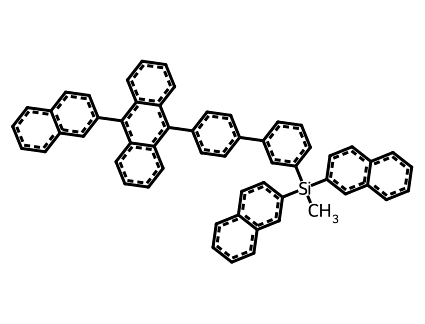 C[Si](c1cccc(-c2ccc(-c3c4ccccc4c(-c4ccc5ccccc5c4)c4ccccc34)cc2)c1)(c1ccc2ccccc2c1)c1ccc2ccccc2c1